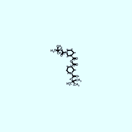 CC(C)(C)OC(=O)N1CCC[C@@H](C(=O)OC(=O)[C@@H]2CCCN(C(=O)OC(C)(C)C)C2)C1